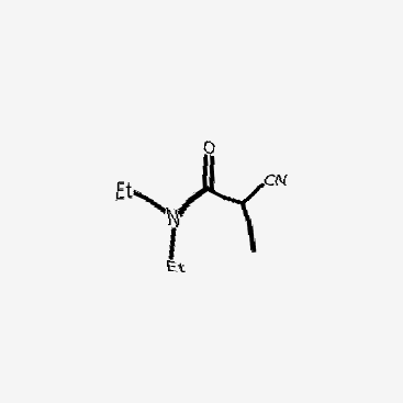 CCN(CC)C(=O)C(C)C#N